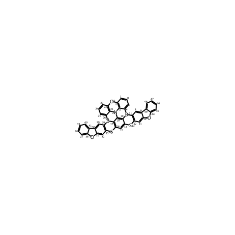 c1cc2c3c(c1)B1c4cc5c(cc4Sc4cc6c7c(c41)N3c1c(cccc1B7c1cc3c(cc1S6)oc1ccccc13)O2)oc1ccccc15